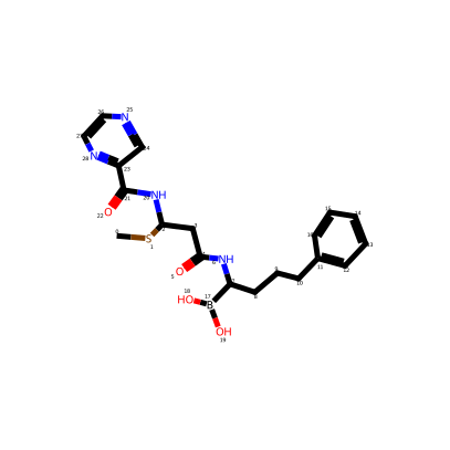 CSC(CC(=O)NC(CCCc1ccccc1)B(O)O)NC(=O)c1cnccn1